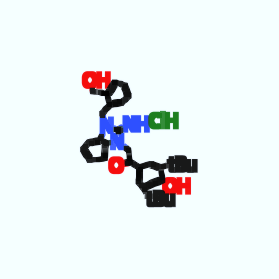 CC(C)(C)c1cc(C(=O)Cn2c(=N)n(Cc3ccccc3CO)c3ccccc32)cc(C(C)(C)C)c1O.Cl